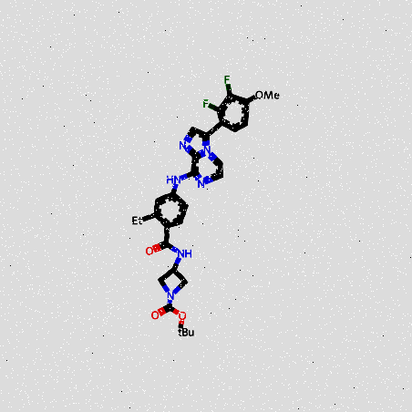 CCc1cc(Nc2nccn3c(-c4ccc(OC)c(F)c4F)cnc23)ccc1C(=O)NC1CN(C(=O)OC(C)(C)C)C1